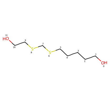 OCCCCCSCSCCO